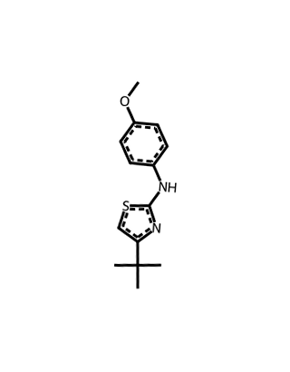 COc1ccc(Nc2nc(C(C)(C)C)cs2)cc1